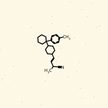 Cc1ccc(C2(C3CCC(C=CC(C)C#N)CC3)CCCCC2)cc1